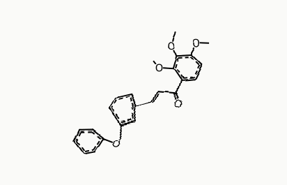 COc1ccc(C(=O)C=Cc2cccc(Oc3ccccc3)c2)c(OC)c1OC